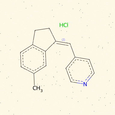 Cc1ccc2c(c1)/C(=C\c1ccncc1)CC2.Cl